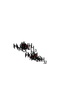 CNCC(=O)N[C@H]1CCS[C@H]2CC(C)(C)[C@@H](C(=O)N[C@H](COCCCCCCCCCCOC[C@@H](NC(=O)C3N4C(=O)CC(C[C@H](NC)C(N)=O)CS[C@H]4CC3(C)C)c3ccccc3)c3ccccc3)N2C1=O